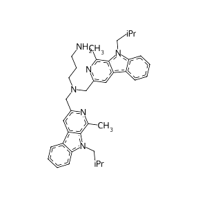 Cc1nc(CN(CCCN)Cc2cc3c4ccccc4n(CC(C)C)c3c(C)n2)cc2c3ccccc3n(CC(C)C)c12